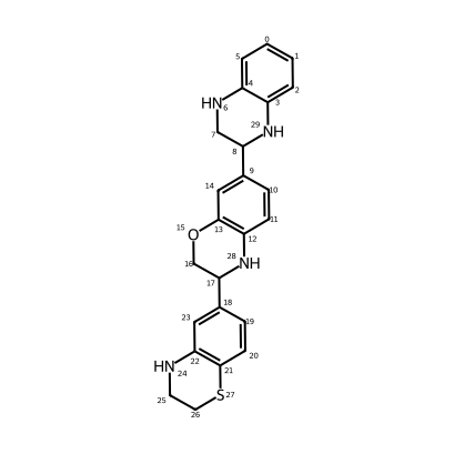 c1ccc2c(c1)NCC(c1ccc3c(c1)OCC(c1ccc4c(c1)NCCS4)N3)N2